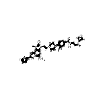 CN(CCNC(=O)c1ccc(N2CCN(CCn3c(=O)n(C)c4c3nc(N)n3nc(-c5ccco5)nc43)CC2)c(F)c1)C1COC1